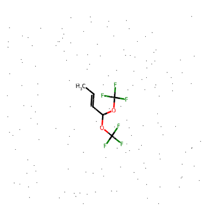 CC=CC(OC(F)(F)F)OC(F)(F)F